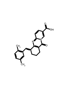 Cc1ccc(C)c(C=C2CCCc3c2nc2ccc(C(=O)O)cn2c3=O)c1